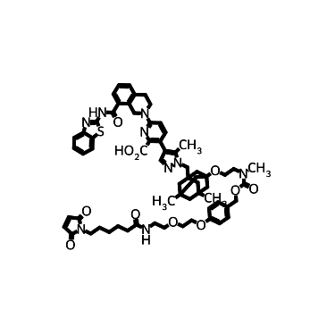 Cc1c(-c2ccc(N3CCc4cccc(C(=O)Nc5nc6ccccc6s5)c4C3)nc2C(=O)O)cnn1CC12CC3(C)CC(C)(C1)CC(OCCN(C)C(=O)OCc1[c]cc(OCCOCCNC(=O)CCCCCN4C(=O)C=CC4=O)cc1)(C3)C2